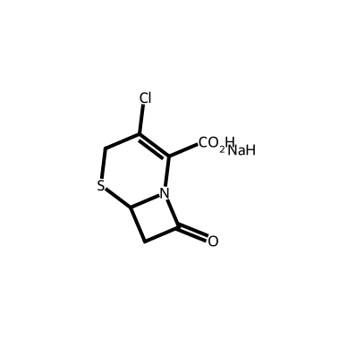 O=C(O)C1=C(Cl)CSC2CC(=O)N12.[NaH]